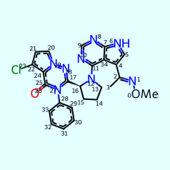 CO/N=C(\C)c1c[nH]c2ncnc(N3CCC[C@H]3c3nn4ccc(Cl)c4c(=O)n3-c3ccccc3)c12